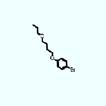 CCCOCCCCOc1ccc(Br)cc1